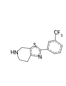 FC(F)(F)c1cccc(-c2nc3c(s2)CNCC3)c1